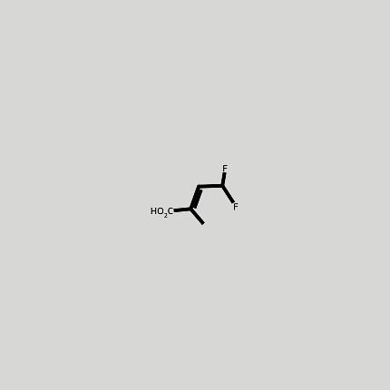 CC(=CC(F)F)C(=O)O